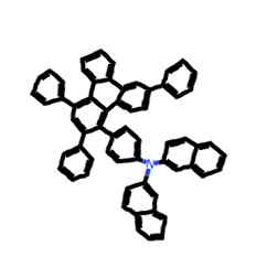 c1ccc(-c2ccc3c(c2)c2ccccc2c2c(-c4ccccc4)cc(-c4ccccc4)c(-c4ccc(N(c5ccc6ccccc6c5)c5ccc6ccccc6c5)cc4)c32)cc1